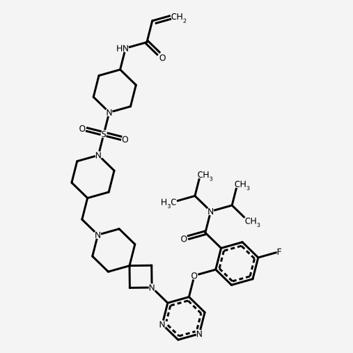 C=CC(=O)NC1CCN(S(=O)(=O)N2CCC(CN3CCC4(CC3)CN(c3ncncc3Oc3ccc(F)cc3C(=O)N(C(C)C)C(C)C)C4)CC2)CC1